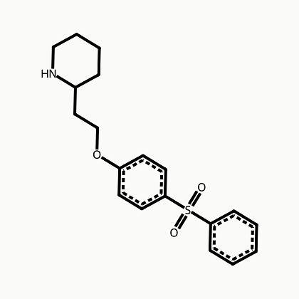 O=S(=O)(c1ccccc1)c1ccc(OCCC2CCCCN2)cc1